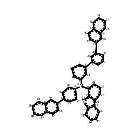 c1cc(-c2cccc(N(c3ccc(-c4ccc5ccccc5c4)cc3)c3cccc4c3sc3ccccc34)c2)cc(-c2ccc3ccccc3c2)c1